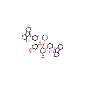 COc1ccc(OCC2CCCC[C@H]2COc2ccc(OC)cc2-c2cc(C)cc(-n3c4ccccc4c4ccccc43)c2O)c(-c2cc(C)cc(-n3c4ccccc4c4ccccc43)c2O)c1